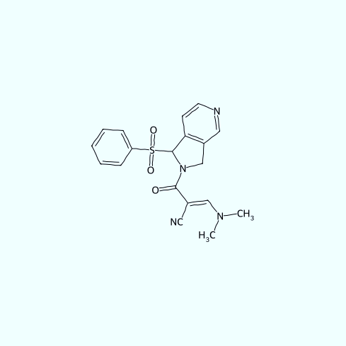 CN(C)C=C(C#N)C(=O)N1Cc2cnccc2C1S(=O)(=O)c1ccccc1